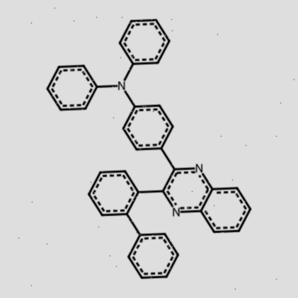 c1ccc(-c2ccccc2-c2nc3ccccc3nc2-c2ccc(N(c3ccccc3)c3ccccc3)cc2)cc1